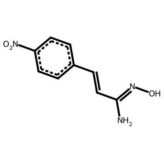 NC(/C=C/c1ccc([N+](=O)[O-])cc1)=NO